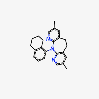 Cc1cnc2c(c1)CCc1cc(C)cnc1N2c1cccc2c1CCCC2